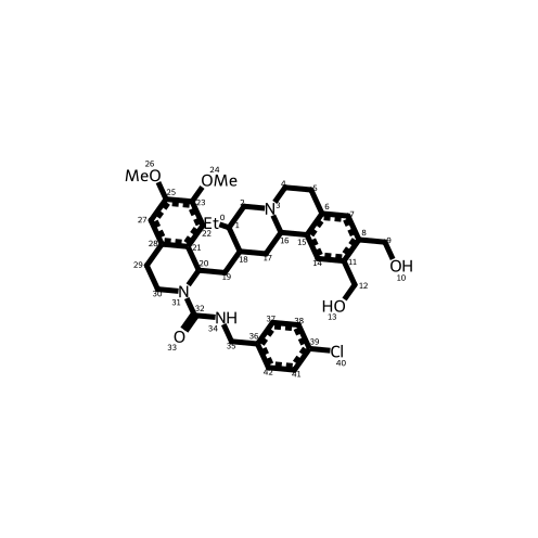 CCC1CN2CCc3cc(CO)c(CO)cc3C2CC1CC1c2cc(OC)c(OC)cc2CCN1C(=O)NCc1ccc(Cl)cc1